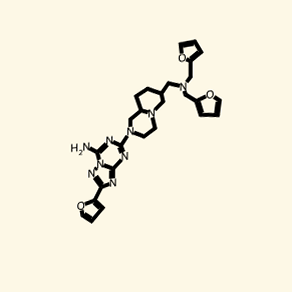 Nc1nc(N2CCN3CC(CN(Cc4ccco4)Cc4ccco4)CCC3C2)nc2nc(-c3ccco3)nn12